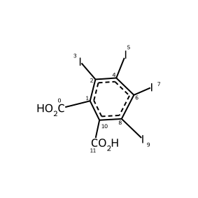 O=C(O)c1c(I)c(I)c(I)c(I)c1C(=O)O